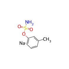 Cc1cccc(OS(N)(=O)=O)c1.[Na]